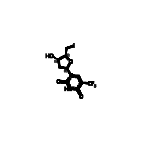 O=c1[nH]c(=O)n([C@H]2C[C@H](O)[C@@H](CI)O2)cc1C(F)(F)F